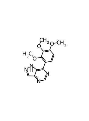 COc1ccc(-c2ncnc3cn[nH]c23)c(OC)c1OC